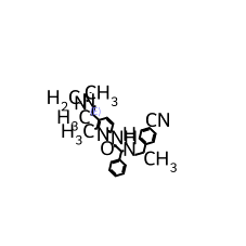 C=NN(C)/C=C(\C)c1ccc(NC(=O)C(NCC(C)c2ccc(C#N)cc2)c2ccccc2)nc1C